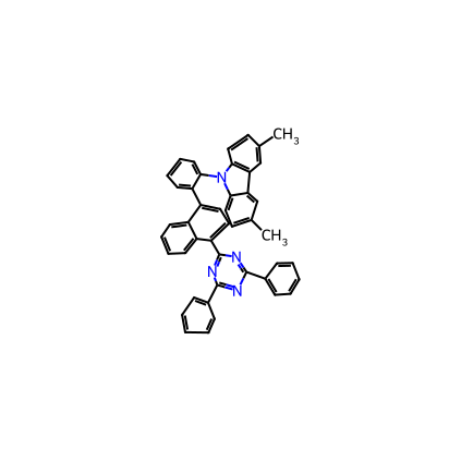 Cc1ccc2c(c1)c1cc(C)ccc1n2-c1ccccc1-c1ccc(-c2nc(-c3ccccc3)nc(-c3ccccc3)n2)c2ccccc12